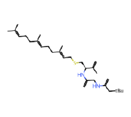 C=C(CC(C)(C)C)NCC(=C)N[C@@H](CSC/C=C(\C)CC/C=C(\C)CCC=C(C)C)C(=C)C